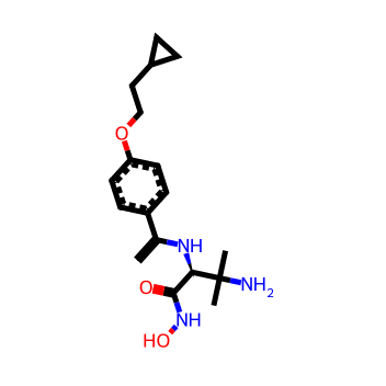 C=C(N[C@H](C(=O)NO)C(C)(C)N)c1ccc(OCCC2CC2)cc1